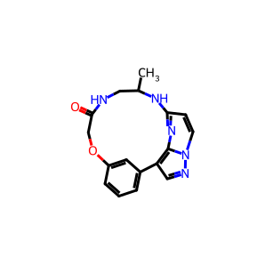 CC1CNC(=O)COc2cccc(c2)-c2cnn3ccc(nc23)N1